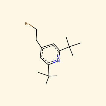 CC(C)(C)c1cc(CCBr)cc(C(C)(C)C)n1